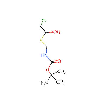 CC(C)(C)OC(=O)NCS[C@H](O)CCl